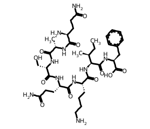 CC[C@H](C)[C@H](NC(=O)[C@H](CCCCN)NC(=O)[C@H](CCC(N)=O)NC(=O)[C@H](CO)NC(=O)[C@H](C)NC(=O)[C@@H](N)CCC(N)=O)C(=O)N[C@@H](Cc1ccccc1)C(=O)O